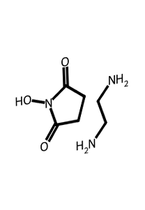 NCCN.O=C1CCC(=O)N1O